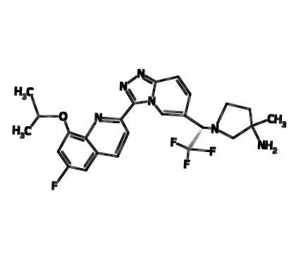 CC(C)Oc1cc(F)cc2ccc(-c3nnc4ccc([C@H](N5CCC(C)(N)C5)C(F)(F)F)cn34)nc12